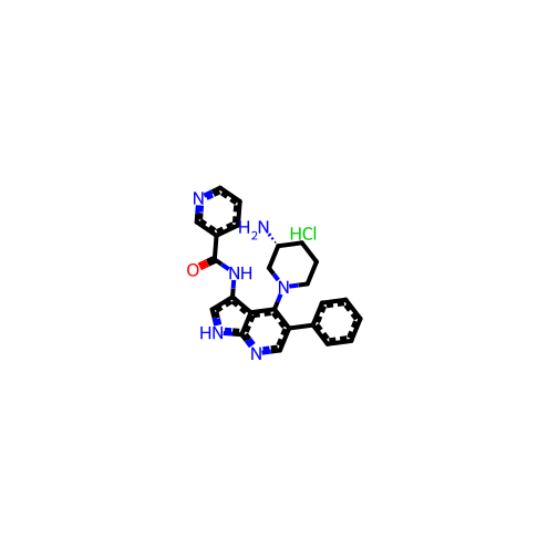 Cl.N[C@@H]1CCCN(c2c(-c3ccccc3)cnc3[nH]cc(NC(=O)c4cccnc4)c23)C1